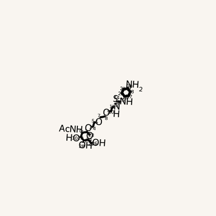 CC(=O)NC1[C@H](OCCOCCOCCNC(=S)Nc2ccc(N)cc2)OC(CO)[C@H](O)[C@@H]1O